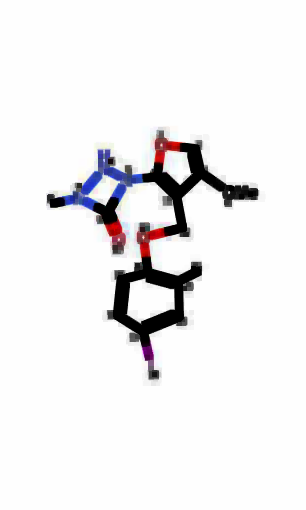 COc1coc(-n2[nH]n(C)c2=O)c1COc1ccc(I)cc1C